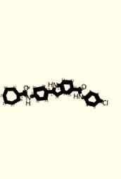 O=C(Nc1ccc(Cl)cc1)c1ccc2c(c1)CC(c1ccc(NC(=O)C3CCCCCC3)cc1)N2